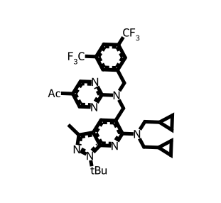 CC(=O)c1cnc(N(Cc2cc(C(F)(F)F)cc(C(F)(F)F)c2)Cc2cc3c(C)nn(C(C)(C)C)c3nc2N(CC2CC2)CC2CC2)nc1